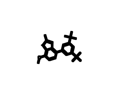 COc1ccc(-c2cc(C(C)(C)C)cc(C(C)(C)C)c2)c2c1[CH]C(C)=C2